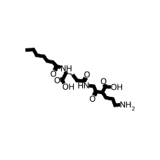 CCCCCCC(=O)N[C@H](CCC(=O)NCC(=O)C(CCCN)C(=O)O)C(=O)O